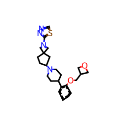 c1ccc(C2CCN(C3CCC4(C3)CN(c3nncs3)C4)CC2)c(OCC2COC2)c1